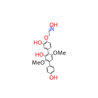 COc1cc(-c2ccc(O)cc2)c(OC)c(O)c1-c1ccc(OC/C=N/O)c(O)c1